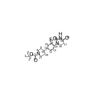 CC(C)(C)OC(=O)N1CCC(c2ccc(N3CCC(=O)NC3=O)c(F)c2)CC1